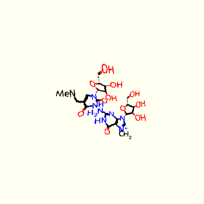 CNCc1cn([C@@H]2O[C@H](CO)[C@@H](O)[C@H]2O)c(=O)[nH]c1=O.C[n+]1cn([C@@H]2O[C@H](CO)[C@@H](O)[C@H]2O)c2nc(N)[nH]c(=O)c21